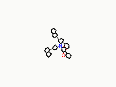 c1ccc(-c2ccc(-c3ccc4ccccc4c3)cc2N(c2ccc(-c3cccc4ccccc34)cc2)c2ccc3c(c2)oc2ccccc23)cc1